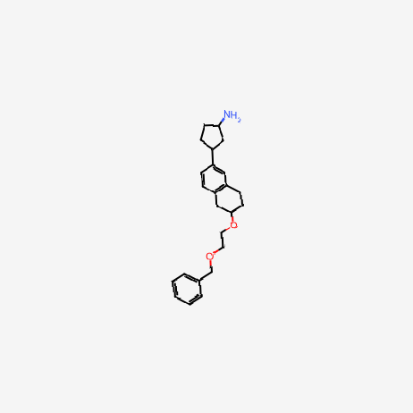 NC1CCC(c2ccc3c(c2)CCC(OCCOCc2ccccc2)C3)C1